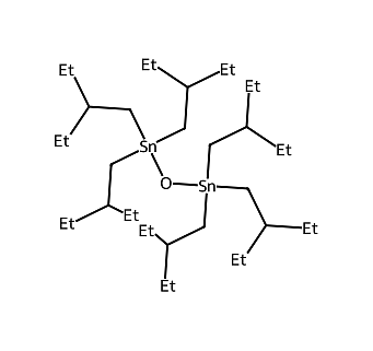 CCC(CC)[CH2][Sn]([CH2]C(CC)CC)([CH2]C(CC)CC)[O][Sn]([CH2]C(CC)CC)([CH2]C(CC)CC)[CH2]C(CC)CC